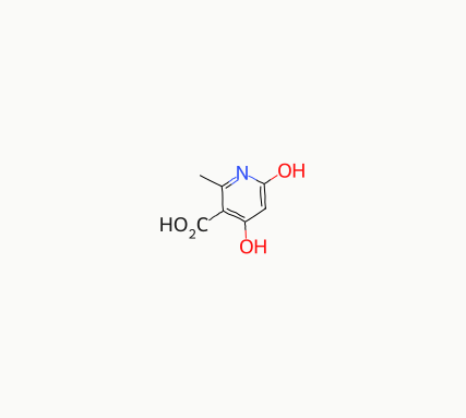 Cc1nc(O)cc(O)c1C(=O)O